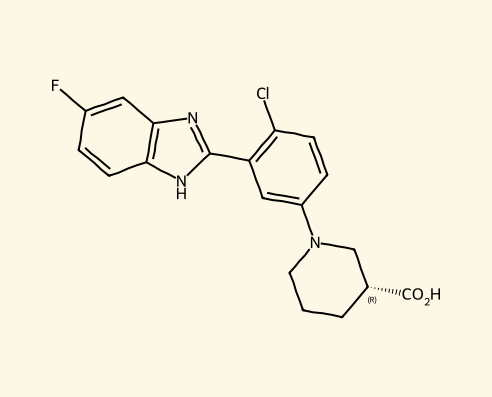 O=C(O)[C@@H]1CCCN(c2ccc(Cl)c(-c3nc4cc(F)ccc4[nH]3)c2)C1